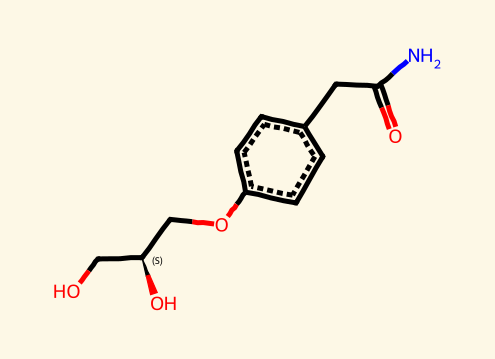 NC(=O)Cc1ccc(OC[C@@H](O)CO)cc1